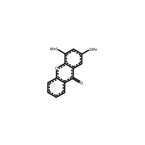 CSc1cc(SC)c2oc3ccccc3c(=O)c2c1